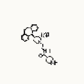 Cl.Cl.O=C(NCCN1CCC(=C2c3ccccc3C=Cc3ccccc32)CC1)C1CCNCC1